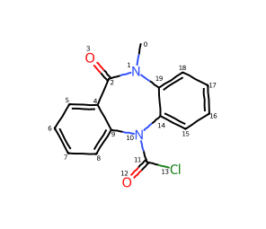 CN1C(=O)c2ccccc2N(C(=O)Cl)c2ccccc21